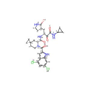 O=C(NC1CC1)C(=O)C(CC1CCNC1=O)NC(=O)C1CC2(CCN1C(=O)c1cc3c(Cl)cc(Cl)cc3[nH]1)CC2